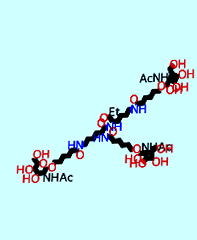 CCC(=O)C(CCCCNC(=O)CCCCCO[C@H](O)[C@@]1(NC(C)=O)C(O)[C@@H](O)C1CO)NC(=O)C(CCCCNC(=O)CCCCCO[C@@H]1OC(CO)[C@H](O)C(O)[C@@H]1NC(C)=O)NC(=O)CCCCCO[C@H](O)[C@@]1(NC(C)=O)C(O)[C@@H](O)C1CO